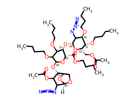 CCCCOC(=O)[C@@H]1O[C@@H](O[C@@H]2C3CO[C@H](O3)C(N=[N+]=[N-])C2OC(C)=O)C(OCCCC)C(OCCCC)[C@@H]1O[C@H]1O[C@@H](COC(C)=O)[C@@H](OCCCC)[C@H](OCCCC)C1N=[N+]=[N-]